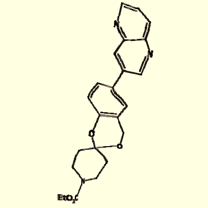 CCOC(=O)N1CCC2(CC1)OCc1cc(-c3cnc4cccnc4c3)ccc1O2